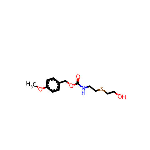 COc1ccc(COC(=O)NCCSCCO)cc1